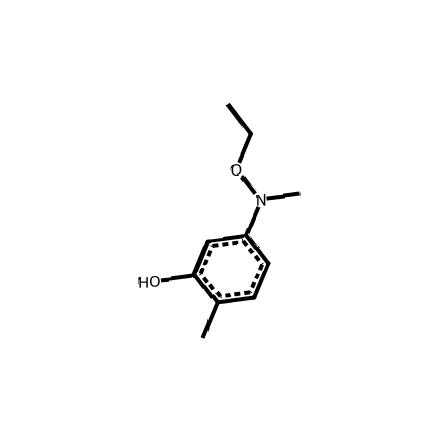 CCON(C)c1ccc(C)c(O)c1